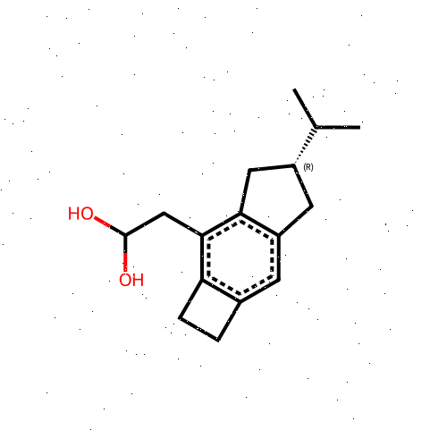 CC(C)[C@@H]1Cc2cc3c(c(CC(O)O)c2C1)CC3